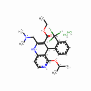 CCOC(=O)C1=C(CN(C)C)Nc2ccnc(OC(C)C)c2C1c1ccccc1C(F)(F)F.Cl.Cl